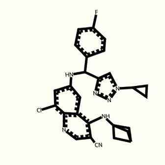 N#Cc1cnc2c(Cl)cc(NC(c3ccc(F)cc3)c3cn(C4CC4)nn3)cc2c1NC12CC(C1)C2